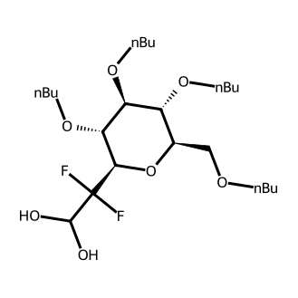 CCCCOC[C@H]1O[C@@H](C(F)(F)C(O)O)[C@H](OCCCC)[C@@H](OCCCC)[C@@H]1OCCCC